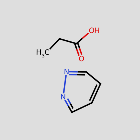 CCC(=O)O.c1ccnnc1